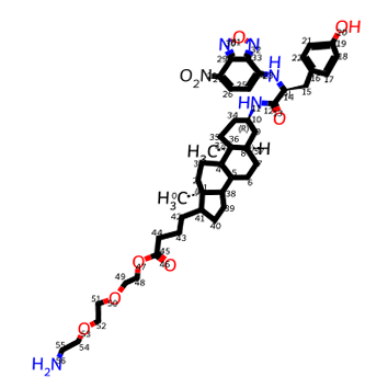 C[C@]12CCC3C(CC[C@@H]4C[C@H](NC(=O)[C@H](Cc5ccc(O)cc5)Nc5ccc([N+](=O)[O-])c6nonc56)CC[C@]34C)C1CCC2CCCC(=O)OCCOCCOCCN